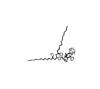 CCCCCCCCCCCCC(=O)CC(CC(=O)CCCCCCCCCCCC)OCn1cnc2c(=O)[nH]c(N)nc21